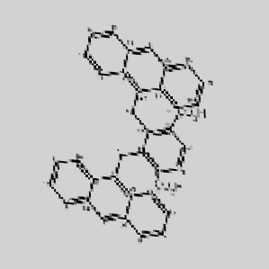 O=C(O)c1ccc(C(=O)O)c(Cc2c3ccccc3cc3ccccc23)c1Cc1c2ccccc2cc2ccccc12